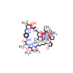 CCC(C)C(NC(=O)[C@@]1(C)CCCN1C)C(=O)N(C)C(CC(OC(C)=O)c1nc(C(=O)NC(Cc2ccc(NC(=O)C(C)NC(=O)C(NC(=O)CCCCCN3C(=O)C=CC3=O)C(C)C)cc2)CC(C)C(=O)O)cs1)C(C)C